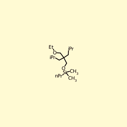 CCC[Si](C)(C)OCC(COCC)(CC(C)C)CC(C)C